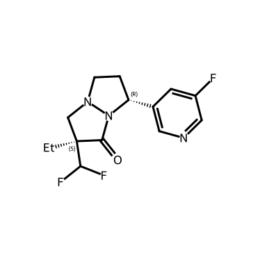 CC[C@]1(C(F)F)CN2CC[C@H](c3cncc(F)c3)N2C1=O